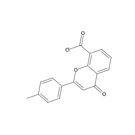 Cc1ccc(-c2cc(=O)c3cccc(C(=O)Cl)c3o2)cc1